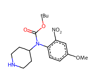 COc1ccc(N(C(=O)OC(C)(C)C)C2CCNCC2)c([N+](=O)[O-])c1